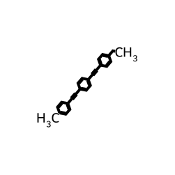 CCc1ccc(C#Cc2ccc(C#Cc3ccc(C)cc3)cc2)cc1